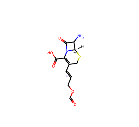 NC1C(=O)N2C(C(=O)O)=C(/C=C/COC=O)CS[C@H]12